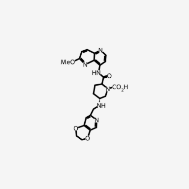 COc1ccc2nccc(NC(=O)C3CC[C@@H](NCc4cc5c(cn4)OCCO5)CN3C(=O)O)c2n1